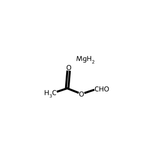 CC(=O)OC=O.[MgH2]